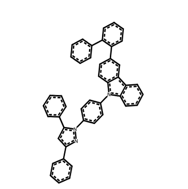 c1ccc(-c2cc(-c3ccccc3)n(-c3ccc(-n4c5ccccc5c5cc(-c6ccccc6-c6ccccc6)ccc54)cc3)n2)cc1